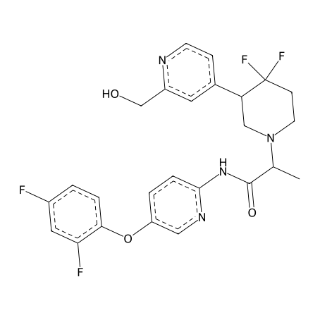 CC(C(=O)Nc1ccc(Oc2ccc(F)cc2F)cn1)N1CCC(F)(F)C(c2ccnc(CO)c2)C1